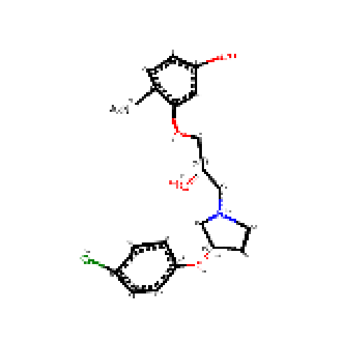 CC(=O)Nc1ccc(O)cc1OC[C@@H](O)CN1CC[C@H](Oc2ccc(Cl)cc2)C1